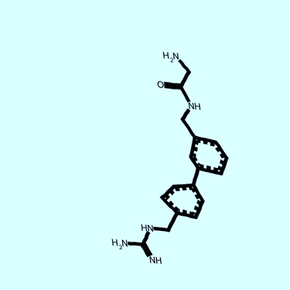 N=C(N)NCc1ccc(-c2cccc(CNC(=O)CN)c2)cc1